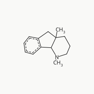 CN1CCCC2(C)Cc3ccccc3C12